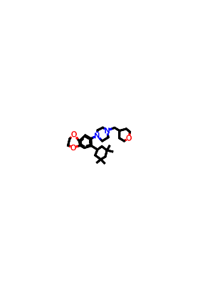 CC1(C)CC(c2cc3c(cc2N2CCN(CC4CCOCC4)CC2)OCCO3)CC(C)(C)C1